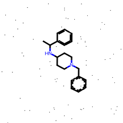 CC(NC1CCN(Cc2ccccc2)CC1)C1=C=C=CC=C1